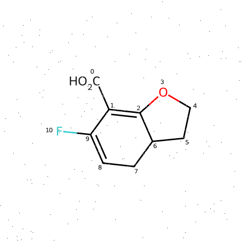 O=C(O)C1=C2OCCC2CC=C1F